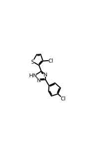 Clc1ccc(-c2n[nH]c(-c3sccc3Cl)n2)cc1